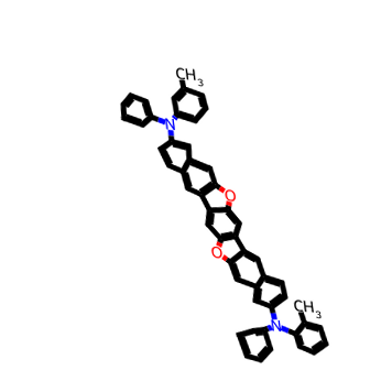 Cc1cccc(N(c2ccccc2)c2ccc3cc4c(cc3c2)oc2cc3c(cc24)oc2cc4cc(N(c5ccccc5)c5ccccc5C)ccc4cc23)c1